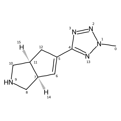 Cn1nnc(C2=C[C@H]3CNC[C@H]3C2)n1